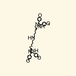 COc1ccc(-c2nc(SCCCCCNCCCCCSc3nc(-c4ccc(OC)cc4)c(-c4ccc(OC)cc4)[nH]3)[nH]c2-c2ccc(OC)cc2)cc1